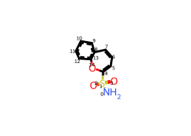 NS(=O)(=O)C1=CC=Cc2ccccc2O1